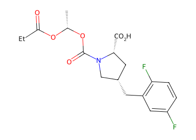 CCC(=O)O[C@H](C)OC(=O)N1C[C@@H](Cc2cc(F)ccc2F)C[C@H]1C(=O)O